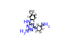 Nc1nc(Nc2cccc(C(F)(F)F)c2)nc(N2CCCC(N)C2)n1